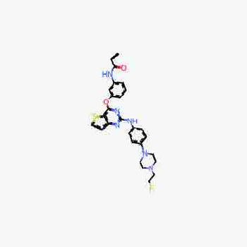 C=CC(=O)Nc1cccc(Oc2nc(Nc3ccc(N4CCN(CCF)CC4)cc3)nc3ccsc23)c1